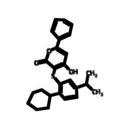 CC(C)c1ccc(C2CCCCC2)c(Sc2c(O)cc(-c3ccccc3)oc2=O)c1